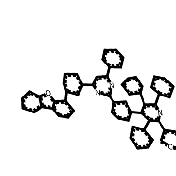 c1ccc(-c2cc(-c3cccc(-c4cccc5c4oc4ccccc45)c3)nc(-c3cccc(-c4c(-c5ccccc5)c(-c5ccccc5)nc(-c5ccccc5)c4-c4ccccc4)c3)n2)cc1